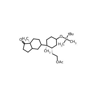 CC(=O)OCC[C@H]1CC(O[Si](C)(C)C(C)(C)C)CC[C@]1(C)C1CC[C@]2(C)C(=O)CCC2C1